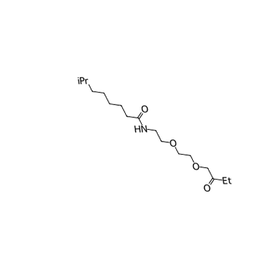 CCC(=O)COCCOCCNC(=O)CCCCCC(C)C